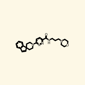 O=C(NCCCN1CCOCC1)c1ccc(N2CCC3(C=Cc4ccccc43)CC2)nn1